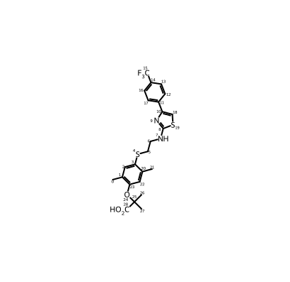 Cc1cc(SCCNc2nc(-c3ccc(C(F)(F)F)cc3)cs2)c(C)cc1OC(C)(C)C(=O)O